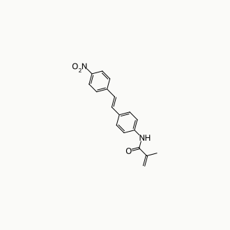 C=C(C)C(=O)Nc1ccc(C=Cc2ccc([N+](=O)[O-])cc2)cc1